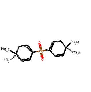 O=C(O)C1(C(=O)O)C=CC(S(=O)(=O)C2=CCC(C(=O)O)(C(=O)O)C=C2)=CC1